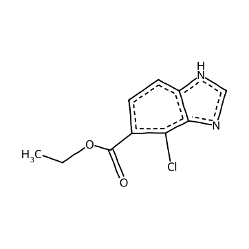 CCOC(=O)c1ccc2[nH]cnc2c1Cl